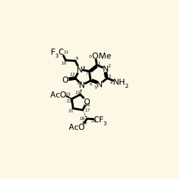 COc1nc(N)nc2c1n(CCC(F)(F)F)c(=O)n2[C@@H]1O[C@H](C(OC(C)=O)C(F)(F)F)C[C@H]1OC(C)=O